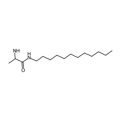 CCCCCCCCCCCCNC(=O)C(C)[NH]